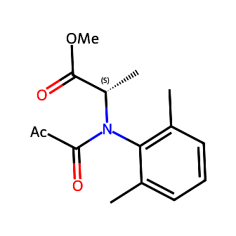 COC(=O)[C@H](C)N(C(=O)C(C)=O)c1c(C)cccc1C